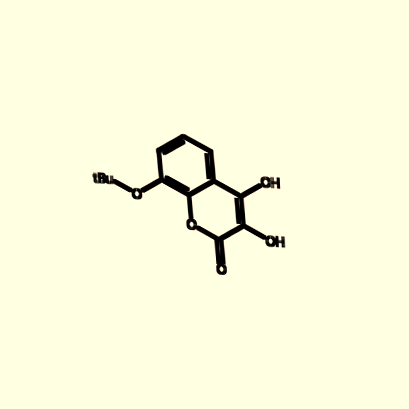 CC(C)(C)Oc1cccc2c(O)c(O)c(=O)oc12